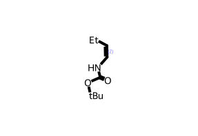 CC/C=C\NC(=O)OC(C)(C)C